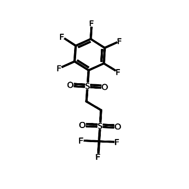 O=S(=O)(CCS(=O)(=O)C(F)(F)F)c1c(F)c(F)c(F)c(F)c1F